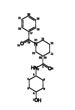 O=C(NC1CCC(O)CC1)[C@H]1CCCN(C(=O)c2ccccc2)C1